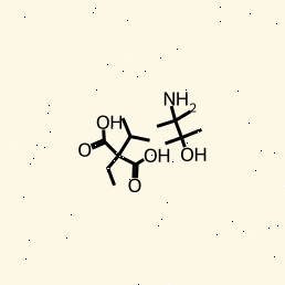 CC(C)(N)C(C)(C)O.CCC(C(=O)O)(C(=O)O)C(C)C